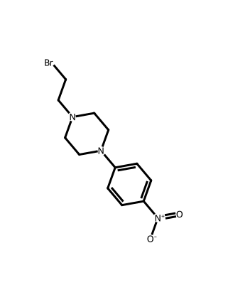 O=[N+]([O-])c1ccc(N2CCN(CCBr)CC2)cc1